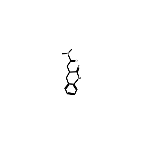 CN(C)C(=O)CC1Cc2ccccc2NC1=O